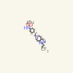 CC(C)(C)OC(=O)N[C@H]1CC[C@H](CCN2CCc3cnc(CCC(F)(F)F)nc3CC2)CC1